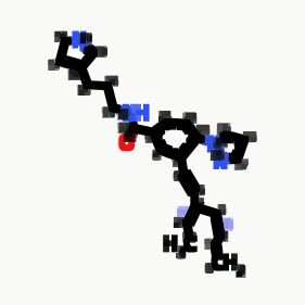 C=C/C=C\C(C#Cc1cc(C(=O)NCCCC2=CCN=C2)ccc1-n1cccn1)=C/C